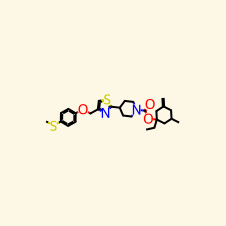 C=C1CC(C)CC(CC)(OC(=O)N2CCC(c3nc(COc4ccc(SC)cc4)cs3)CC2)C1